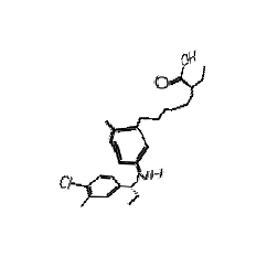 CCC(CCCCc1cc(N[C@H](CC)c2ccc(Cl)c(C)c2)ccc1C)C(=O)O